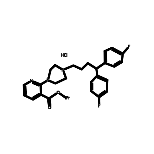 CC(C)OC(=O)c1cccnc1N1CCN(CCCC(c2ccc(F)cc2)c2ccc(F)cc2)CC1.Cl